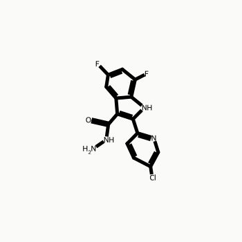 NNC(=O)c1c(-c2ccc(Cl)cn2)[nH]c2c(F)cc(F)cc12